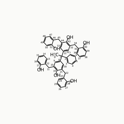 CC(c1ccccc1)(c1cc(Cc2ccccc2O)c(O)c(Cc2ccccc2O)c1)c1cc(Cc2ccccc2O)c(O)c(Cc2ccccc2O)c1